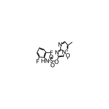 CO[N+]12C=C(C)C=NC1=NC(OS(=O)(=O)Nc1c(F)cccc1F)=C2